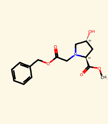 COC(=O)[C@@H]1C[C@@H](O)CN1CC(=O)OCc1ccccc1